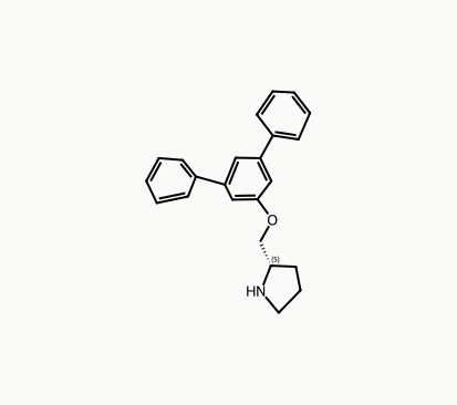 c1ccc(-c2cc(OC[C@@H]3CCCN3)cc(-c3ccccc3)c2)cc1